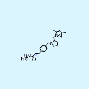 Cc1cc(C)n(C[C@H]2CCCN2Cc2ccc(/C=C/C(=O)NO)cc2)n1